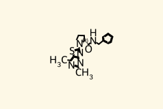 Cc1nc(C)c2sc(N3CCC[C@@H]3C(=O)NCc3ccccc3)nc2n1